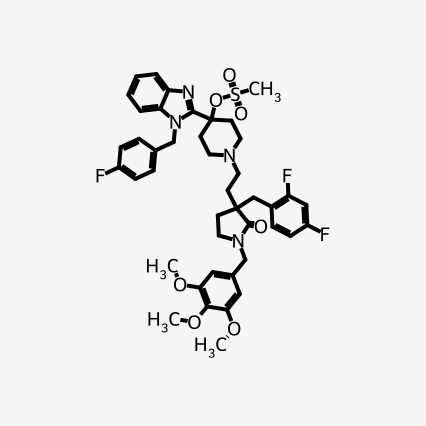 COc1cc(CN2CCC(CCN3CCC(OS(C)(=O)=O)(c4nc5ccccc5n4Cc4ccc(F)cc4)CC3)(Cc3ccc(F)cc3F)C2=O)cc(OC)c1OC